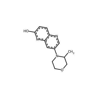 CC1COCCN1c1cnc2ccc(O)nc2c1